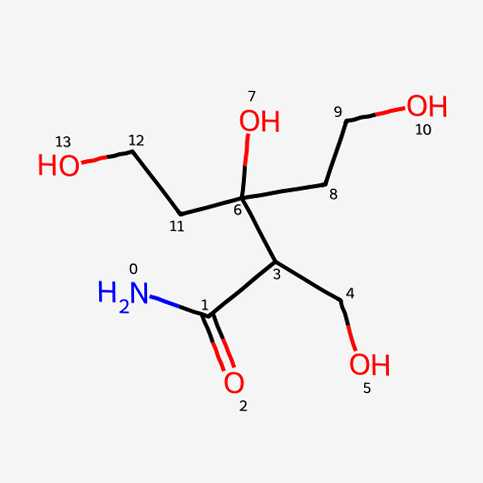 NC(=O)C(CO)C(O)(CCO)CCO